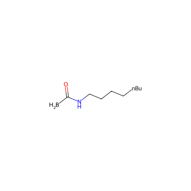 BC(=O)NCCCCCCCC